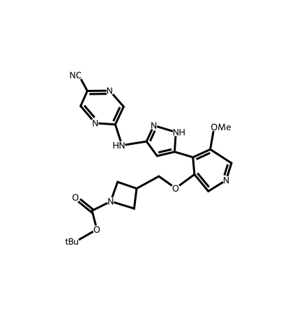 COc1cncc(OCC2CN(C(=O)OC(C)(C)C)C2)c1-c1cc(Nc2cnc(C#N)cn2)n[nH]1